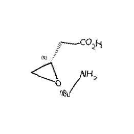 CCCCN.O=C(O)C[C@H]1CO1